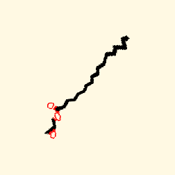 CCCCCCCC/C=C/CCCCCCCC(=O)OCC1CO1